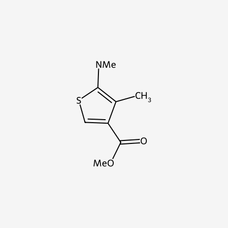 CNc1scc(C(=O)OC)c1C